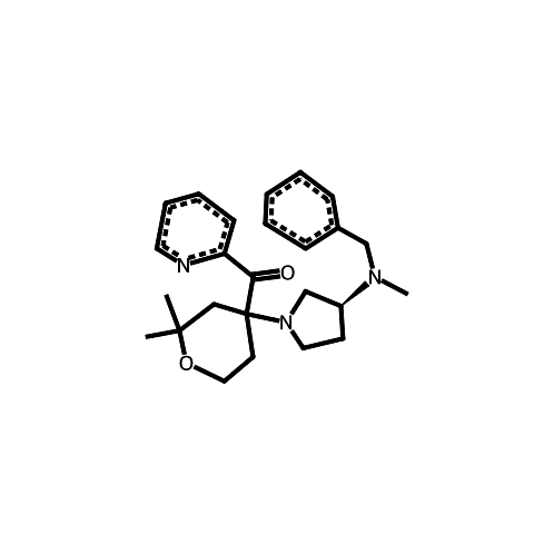 CN(Cc1ccccc1)[C@H]1CCN(C2(C(=O)c3ccccn3)CCOC(C)(C)C2)C1